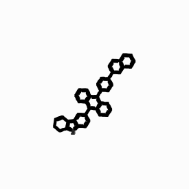 C1=Cc2c(sc3ccc(-c4c5ccccc5c(-c5ccc(-c6ccc7ccccc7c6)cc5)c5ccccc45)cc23)CC1